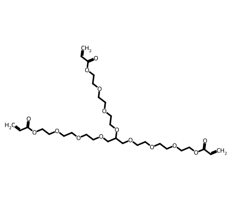 C=CC(=O)OCCOCCOCCOCC(COCCOCCOCCOC(=O)C=C)OCCOCCOCCOC(=O)C=C